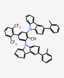 Cc1ccccc1-c1ccc2c(c1)c1ccccc1n2-c1cc(-c2c(C(F)(F)F)cccc2C(F)(F)F)cc(-n2c3ccccc3c3cc(-c4ccccc4C)ccc32)c1C#N